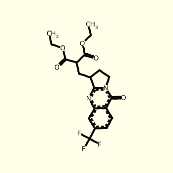 CCOC(=O)C(CC1CCn2c1nc1cc(C(F)(F)F)ccc1c2=O)C(=O)OCC